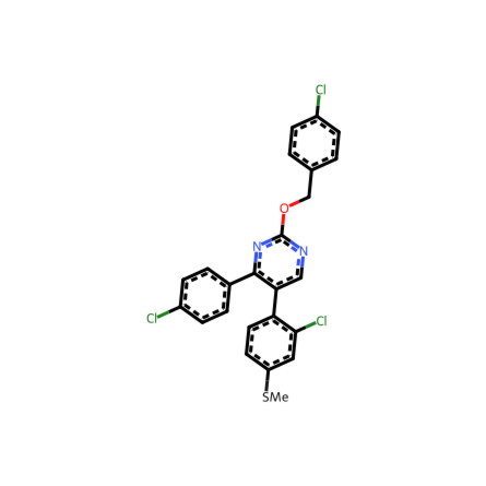 CSc1ccc(-c2cnc(OCc3ccc(Cl)cc3)nc2-c2ccc(Cl)cc2)c(Cl)c1